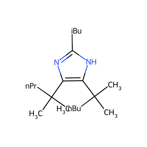 CCCCC(C)(C)c1[nH]c(C(C)CC)nc1C(C)(C)CCC